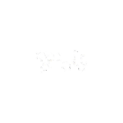 c1cc(-c2cccc(-n3c4ccccc4c4ncccc43)c2)cc(-n2c3ccccc3c3ncccc32)c1